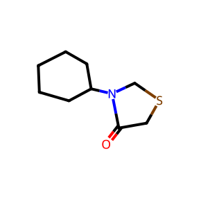 O=C1CSCN1C1CCCCC1